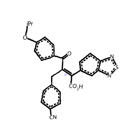 CC(C)Oc1ccc(C(=O)/C(Cc2ccc(C#N)cc2)=C(/C(=O)O)c2ccc3nsnc3c2)cc1